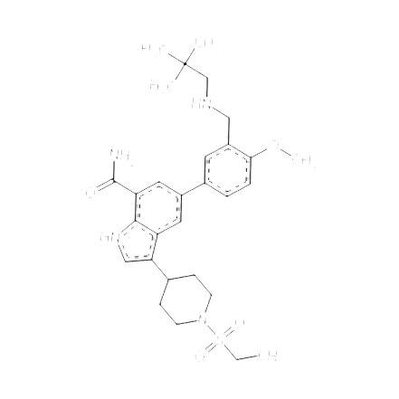 CCS(=O)(=O)N1CCC(c2c[nH]c3c(C(N)=O)cc(-c4ccc(OC)c(CNCC(C)(C)C)c4)cc23)CC1